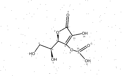 O=C1O[C@H]([C@@H](O)CO)C(OS(=O)O)=C1O